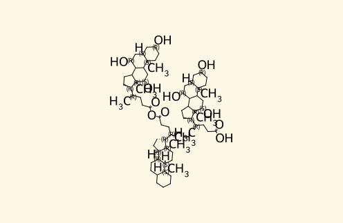 C[C@H](CCC(=O)O)[C@H]1CCC2C3C(C[C@H](O)[C@@]21C)[C@@]1(C)CC[C@@H](O)C[C@H]1C[C@H]3O.C[C@H](CCC(=O)OC(=O)CC[C@@H](C)[C@H]1CCC2C3C(C[C@H](O)[C@@]21C)[C@@]1(C)CC[C@@H](O)C[C@H]1C[C@H]3O)[C@H]1CC[C@H]2[C@@H]3CCC4CCCC[C@]4(C)[C@H]3CC[C@]12C